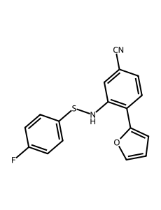 N#Cc1ccc(-c2ccco2)c(NSc2ccc(F)cc2)c1